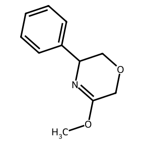 COC1=NC(c2ccccc2)COC1